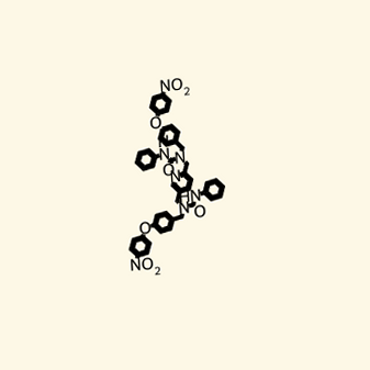 O=C(Nc1ccccc1)N(Cc1ccc(Oc2ccc([N+](=O)[O-])cc2)cc1)Cc1ccc(CN(Cc2ccc(Oc3ccc([N+](=O)[O-])cc3)cc2)C(=O)Nc2ccccc2)nc1